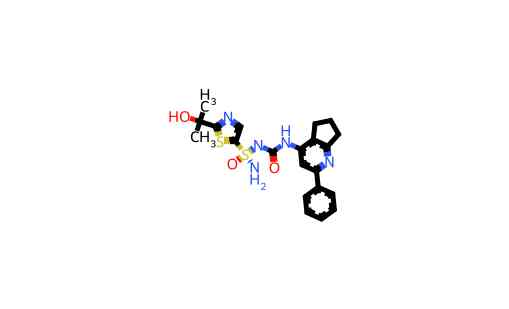 CC(C)(O)c1ncc([S@@](N)(=O)=NC(=O)Nc2cc(-c3ccccc3)nc3c2CCC3)s1